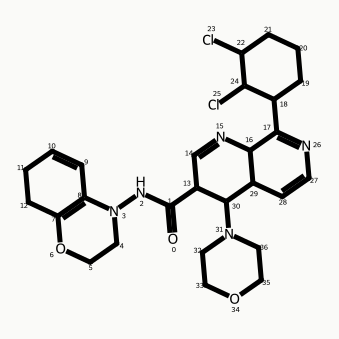 O=C(NN1CCOC2=C1C=CCC2)C1C=NC2C(C3CCCC(Cl)C3Cl)=NC=CC2C1N1CCOCC1